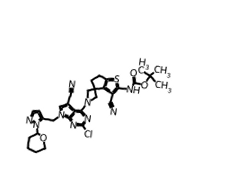 CC(C)(C)OC(=O)Nc1sc2c(c1C#N)C1(CC2)CN(c2nc(Cl)nc3c2c(C#N)cn3Cc2ccnn2C2CCCCO2)C1